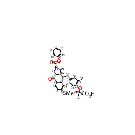 CSc1ccc(C(=O)[C@@H]2CN(C(=O)Oc3ccccc3)C[C@H]2CCc2ccc(OC(C)(C)C(=O)O)c(C)c2)cc1